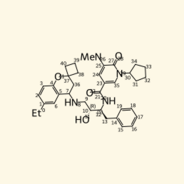 CCc1ccc2c(c1)C(NC[C@@H](O)[C@H](Cc1ccccc1)NC(=O)c1cc(NC)c(=O)n(C3CCCC3)c1)CC1(CCC1)O2